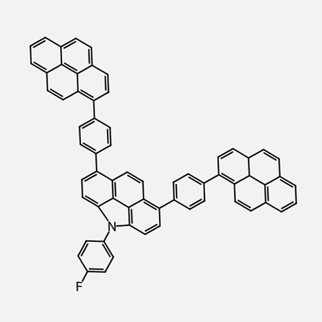 Fc1ccc(-n2c3ccc(-c4ccc(C5=C6C=Cc7cccc8c7C6C(C=C5)C=C8)cc4)c4ccc5c(-c6ccc(-c7ccc8ccc9cccc%10ccc7c8c9%10)cc6)ccc2c5c43)cc1